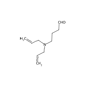 C=CCN(CC=C)CCC[C]=O